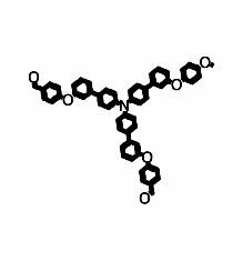 COc1ccc(Oc2cccc(-c3ccc(N(c4ccc(-c5cccc(Oc6ccc(C=O)cc6)c5)cc4)c4ccc(-c5cccc(Oc6ccc(C=O)cc6)c5)cc4)cc3)c2)cc1